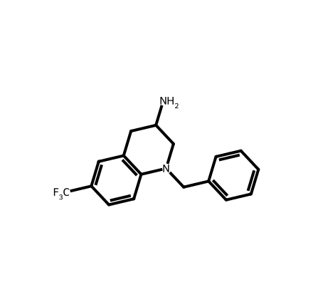 NC1Cc2cc(C(F)(F)F)ccc2N(Cc2ccccc2)C1